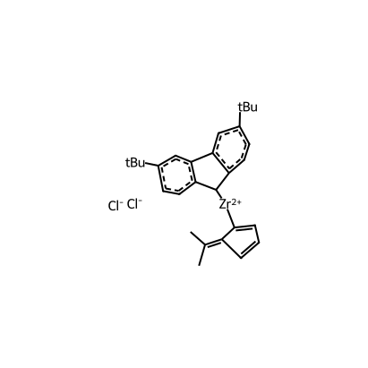 CC(C)=C1C=CC=[C]1[Zr+2][CH]1c2ccc(C(C)(C)C)cc2-c2cc(C(C)(C)C)ccc21.[Cl-].[Cl-]